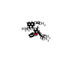 CCc1cccc2cc(OCOC)cc(/C(C)=N/C=c3/c(N4CC5CCC(C4)N5C=O)nc(OCC(OC)OC)n/c3=C\F)c12